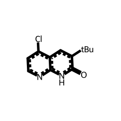 CC(C)(C)c1cc2c(Cl)ccnc2[nH]c1=O